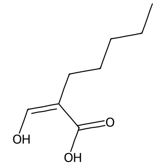 CCCCCC(=CO)C(=O)O